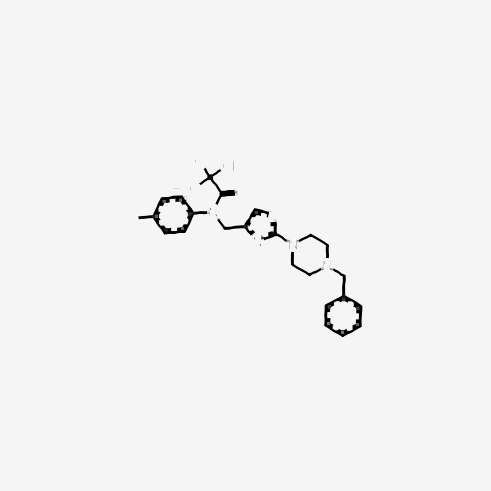 CC(C)(C)C(=O)N(Cc1csc(N2CCN(Cc3ccccc3)CC2)n1)c1ccc(F)cc1